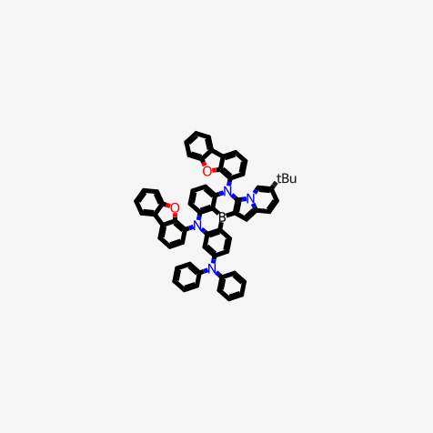 CC(C)(C)c1ccc2cc3c(n2c1)N(c1cccc2c1oc1ccccc12)c1cccc2c1B3c1ccc(N(c3ccccc3)c3ccccc3)cc1N2c1cccc2c1oc1ccccc12